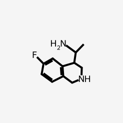 CC(N)C1CNCc2ccc(F)cc21